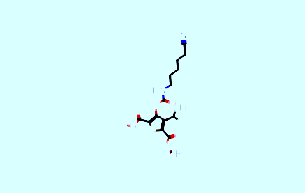 COC(=O)c1sc(C(=O)OC)c(C(C)C)c1OC(=O)NCCCCCC#N